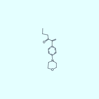 C=C(C(=O)CCC)c1ccc(N2CCOCC2)cc1